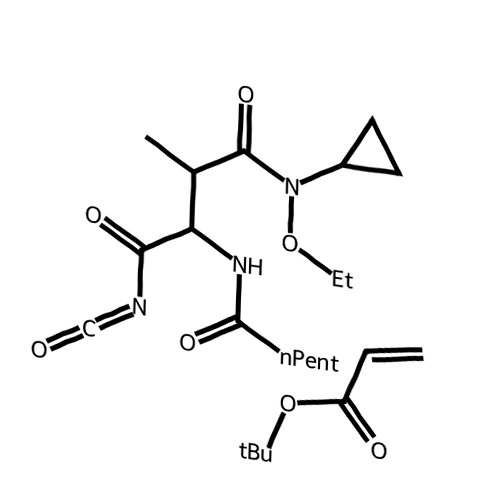 C=CC(=O)OC(C)(C)C.CCCCCC(=O)NC(C(=O)N=C=O)C(C)C(=O)N(OCC)C1CC1